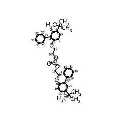 CC(C)(C)c1ccc(OCCOS(=O)OCCOc2ccc(C(C)(C)C)cc2-c2ccccc2)c(-c2ccccc2)c1